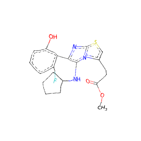 COC(=O)Cc1csc2nc(-c3c(O)cccc3F)c(NC3CCCC3)n12